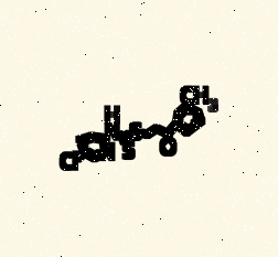 Cc1cccc(C(=O)CCSC(=S)Nc2ccc(Cl)cn2)c1